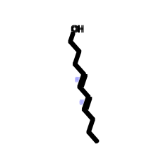 CCC/C=C/C=C/CCCO